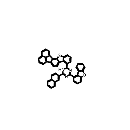 c1ccc2cc(C3=NC(c4cccc5oc6ccccc6c45)=NC(c4cccc5sc6c7c(ccc6c45)-c4cccc5cccc-7c45)N3)ccc2c1